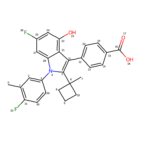 Cc1cc(-n2c(C3(C)CCC3)c(-c3ccc(C(=O)O)cc3)c3c(O)cc(F)cc32)ccc1F